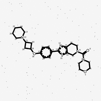 O=C(N1CCOCC1)N1CCc2nc(-c3ccc(OC4CC(N5CCCCC5)C4)cc3)sc2C1